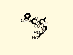 CC(C)CC(C(=O)Nc1ccn(C[C@@H](O)CO)n1)n1ncc(Nc2ccccc2Cl)cc1=O